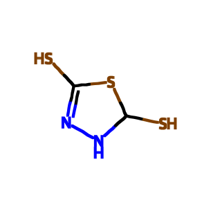 SC1=NNC(S)S1